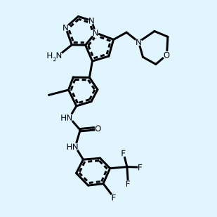 Cc1cc(-c2cc(CN3CCOCC3)n3ncnc(N)c23)ccc1NC(=O)Nc1ccc(F)c(C(F)(F)F)c1